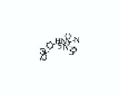 CCOC(=O)Cc1cccc(CSc2nc(-c3cccs3)c(C#N)c(=O)[nH]2)c1